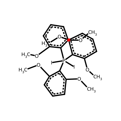 COc1cccc(OC)c1P(I)(I)(c1c(OC)cccc1OC)c1c(OC)cccc1OC